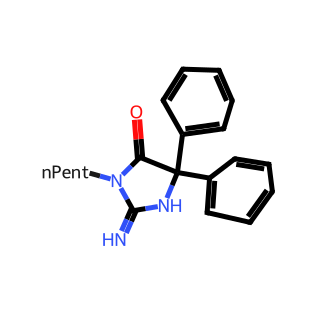 CCCCCN1C(=N)NC(c2ccccc2)(c2ccccc2)C1=O